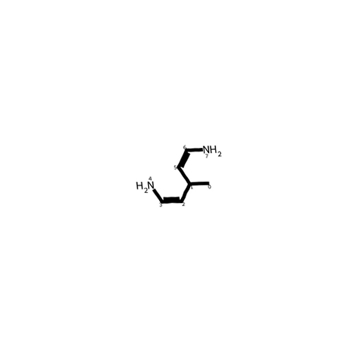 CC(/C=C\N)/C=C\N